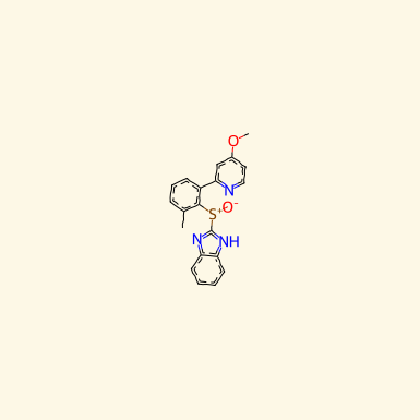 COc1ccnc(-c2cccc(C)c2[S+]([O-])c2nc3ccccc3[nH]2)c1